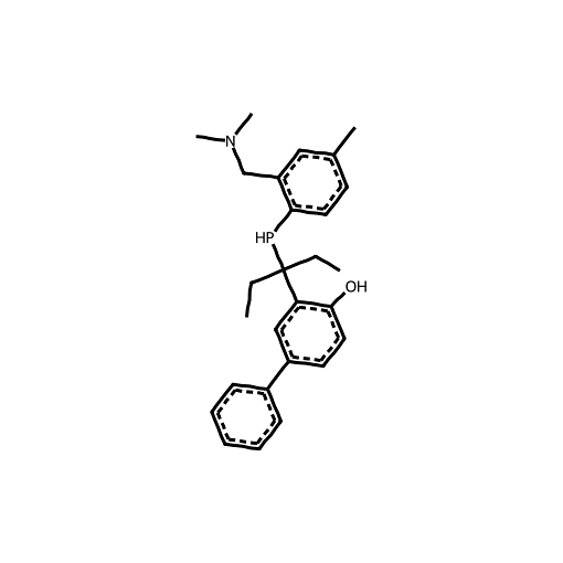 CCC(CC)(Pc1ccc(C)cc1CN(C)C)c1cc(-c2ccccc2)ccc1O